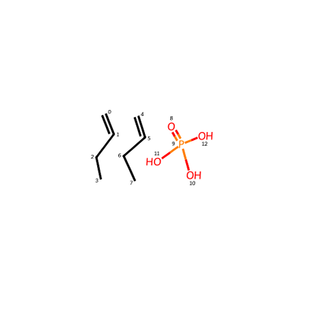 C=CCC.C=CCC.O=P(O)(O)O